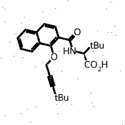 CC(C)(C)C#CCOc1c(C(=O)N[C@H](C(=O)O)C(C)(C)C)ccc2ccccc12